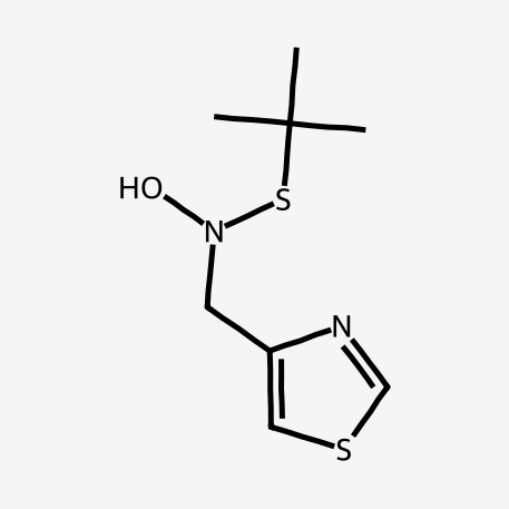 CC(C)(C)SN(O)Cc1cscn1